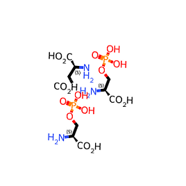 N[C@@H](CC(=O)O)C(=O)O.N[C@@H](COP(=O)(O)O)C(=O)O.N[C@@H](COP(=O)(O)O)C(=O)O